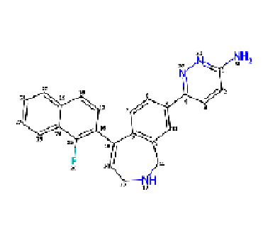 Nc1ccc(-c2ccc3c(c2)CNCC=C3c2ccc3ccccc3c2F)nn1